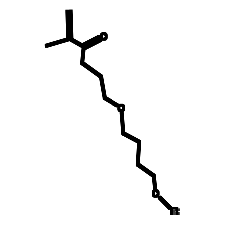 C=C(C)C(=O)CCCOCCCCOCC